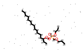 CCCCCCCCCCCCCC(CC)OOP(=O)(COCCC)OCCC